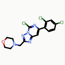 Clc1ccc(-c2cc3nc(CN4CCOCC4)nn3c(Cl)n2)c(Cl)c1